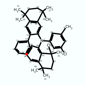 Cc1cc(Cl)cc(N(c2cc3c(cc2-c2ccccc2)C(C)(C)CCC3(C)C)c2cccc3c2C(C)(C)CCC3(C)C)c1